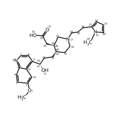 COc1ccc2nccc([C@@H](O)CC[C@@H]3CCN(CCCc4cccn4C)C[C@@H]3CC(=O)O)c2c1